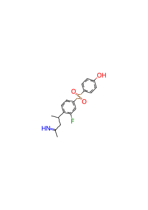 CC(=N)CC(C)c1ccc(S(=O)(=O)c2ccc(O)cc2)cc1F